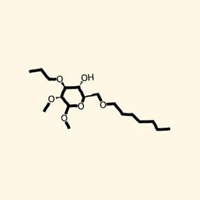 CCCCCCCOC[C@H]1OC(OC)[C@H](OC)[C@@H](OCCC)[C@@H]1O